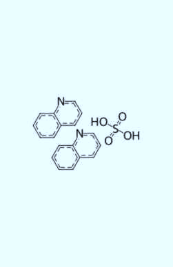 O=S(=O)(O)O.c1ccc2ncccc2c1.c1ccc2ncccc2c1